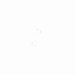 NC(c1ccc(O)cc1)C(c1ccc(O)cc1)N(Cl)Cl.[Pt]